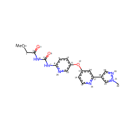 COCC(=O)NC(=O)Nc1ccc(Oc2ccnc(-c3cnn(C)c3)c2)cn1